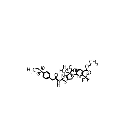 CCOC(=O)c1cnc(N2Cc3sc(NC(=O)Cc4ccc(S(=O)(=O)CC)cc4)nc3[C@]2(C)C(C)C)nc1C(F)(F)F